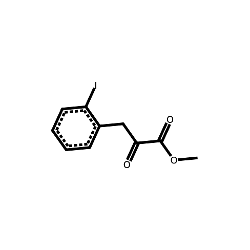 COC(=O)C(=O)Cc1ccccc1I